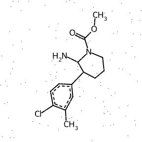 COC(=O)N1CCCC(c2ccc(Cl)c(C)c2)C1N